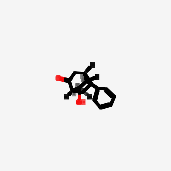 O=C1C[C@@H]2CC[C@H]1[C@H](O)[C@H]2c1ccccc1